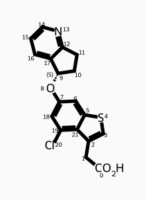 O=C(O)Cc1csc2cc(O[C@H]3CCc4ncccc43)cc(Cl)c12